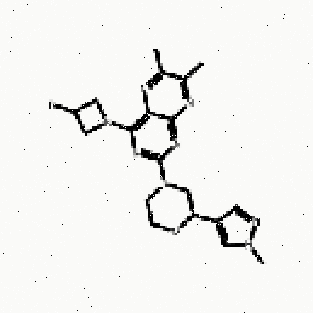 Cc1nc2nc(N3CCOC(c4cnn(C)c4)C3)nc(N3CC(F)C3)c2nc1C